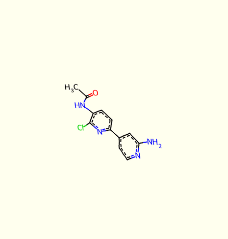 CC(=O)Nc1ccc(-c2ccnc(N)c2)nc1Cl